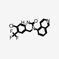 NC(=O)N(Cc1ccc(Cl)c(C(F)(F)F)c1)c1cccc2cnccc12